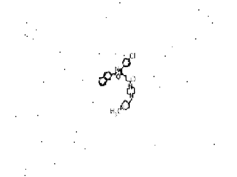 CN1CCC(CN2CCN(C(=O)CCc3oc(-c4ccc5ccccc5c4)nc3-c3ccc(Cl)cc3)CC2)CC1